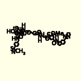 COc1cc(C(=O)N[C@@H]2CCc3ccc(-c4cn5c(n4)CCC5)cc32)cc(OCCCNC(=O)COCCOCC(=O)N[C@H](C(=O)N2C[C@H](O)C[C@H]2C(=O)NCc2ccc(-c3scnc3C)cc2)C(C)(C)C)c1C